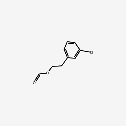 O=COCCc1cccc(Cl)c1